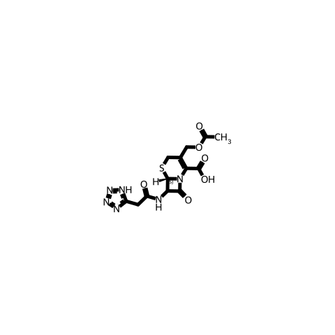 CC(=O)OCC1=C(C(=O)O)N2C(=O)C(NC(=O)Cc3nnn[nH]3)[C@@H]2SC1